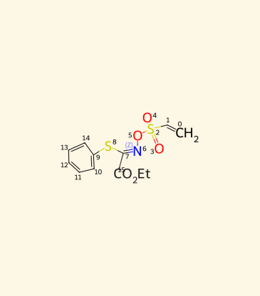 C=CS(=O)(=O)O/N=C(\Sc1ccccc1)C(=O)OCC